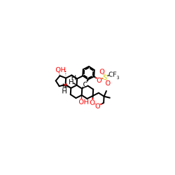 CC1(C)COOC2(CC[C@@]34Cc5c(OS(=O)(=O)C(F)(F)F)cccc5[C@H]5C[C@]6(C)[C@@H](O)CC[C@H]6[C@H](CC[C@@]3(O)C2)[C@H]54)C1